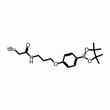 CC(C)(C)CC(=O)NCCCOc1ccc(B2OC(C)(C)C(C)(C)O2)cc1